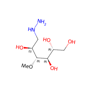 CO[C@@H]([C@H](O)[C@H](O)CO)[C@@H](O)CNN